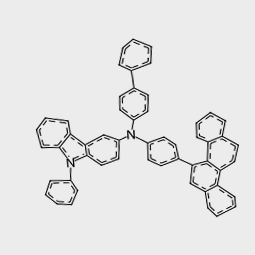 c1ccc(-c2ccc(N(c3ccc(-c4cc5ccccc5c5ccc6ccccc6c45)cc3)c3ccc4c(c3)c3ccccc3n4-c3ccccc3)cc2)cc1